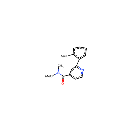 COc1ccccc1-c1cc(C(=O)N(C)OC)ccn1